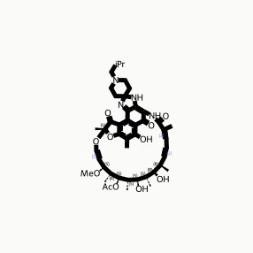 CO[C@@H]1/C=C\O[C@@]2(C)Oc3c(C)c(O)c4c(c3C2=O)C2=NC3(CCN(CC(C)C)CC3)NC2=C(NC(=O)/C(C)=C\C=C/[C@@H](C)[C@@H](O)[C@H](C)[C@H](O)[C@H](C)[C@H](OC(C)=O)[C@@H]1C)C4=O